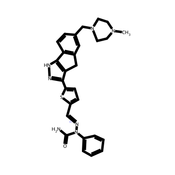 CN1CCN(Cc2ccc3c(c2)Cc2c(-c4ccc(/C=N/N(C(N)=O)c5ccccc5)s4)n[nH]c2-3)CC1